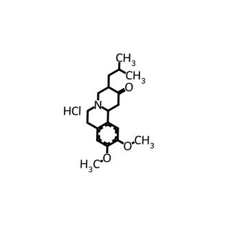 COc1cc2c(cc1OC)C1CC(=O)C(CC(C)C)CN1CC2.Cl